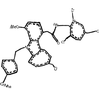 COc1ccc(Cn2c3ccc(Cl)cc3c3c(C(=O)Nc4c(Cl)cc(Cl)c[n+]4[O-])ccc(OC)c32)cc1